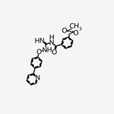 CS(=O)(=O)c1cccc(C(=O)NC(=N)NOc2ccc(-c3ccccn3)cc2)c1